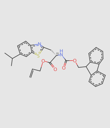 C=CCOC(=O)[C@H](Cc1nc2ccc(C(C)C)cc2s1)NC(=O)OCC1c2ccccc2-c2ccccc21